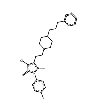 Cn1c(CCN2CCC(CCCc3cccnc3)CC2)c(Cl)c(=O)n1-c1ccc(F)cc1